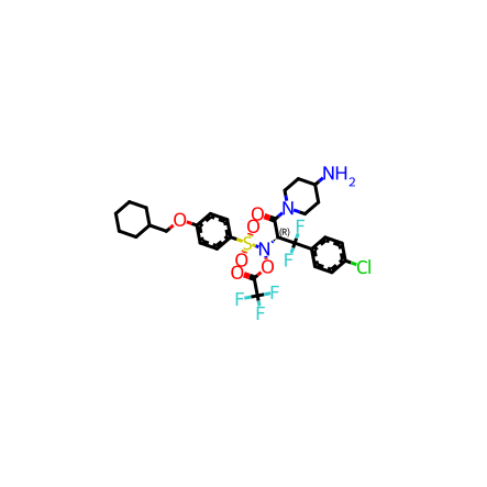 NC1CCN(C(=O)[C@@H](N(OC(=O)C(F)(F)F)S(=O)(=O)c2ccc(OCC3CCCCC3)cc2)C(F)(F)c2ccc(Cl)cc2)CC1